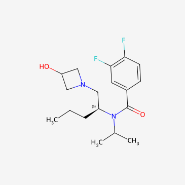 CCC[C@@H](CN1CC(O)C1)N(C(=O)c1ccc(F)c(F)c1)C(C)C